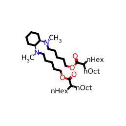 CCCCCCCCC(CCCCCC)C(=O)OCCCCCN(C)[C@@H]1CCCC[C@H]1N(C)CCCCCOC(=O)C(CCCCCC)CCCCCCCC